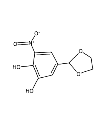 O=[N+]([O-])c1cc(C2OCCO2)cc(O)c1O